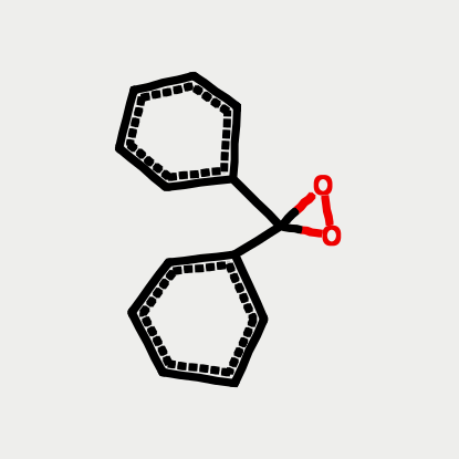 c1ccc(C2(c3ccccc3)OO2)cc1